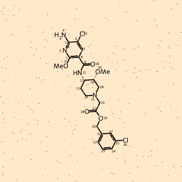 COc1nc(N)c(Cl)cc1C(=O)N[C@H]1CCN(CC(=O)OCc2cccc(Cl)c2)C[C@H]1OC